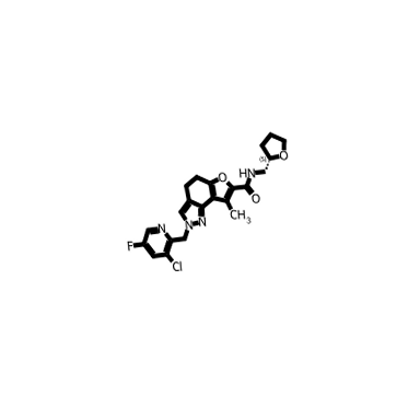 Cc1c(C(=O)NC[C@@H]2CCCO2)oc2c1-c1nn(Cc3ncc(F)cc3Cl)cc1CC2